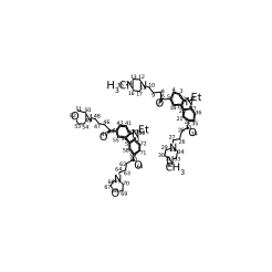 CCn1c2ccc(C(=O)CCCN3CCN(C)CC3)cc2c2cc(C(=O)CCCN3CCN(C)CC3)ccc21.CCn1c2ccc(C(=O)CCCN3CCOCC3)cc2c2cc(C(=O)CCCN3CCOCC3)ccc21